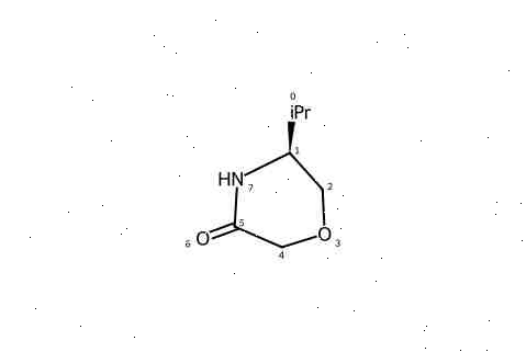 CC(C)[C@H]1COCC(=O)N1